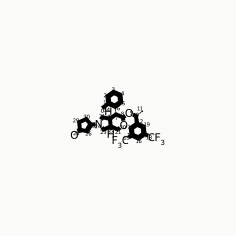 Cc1ccccc1[C@@H]1C(O[C@H](C)c2cc(C(F)(F)F)cc(C(F)(F)F)c2)OC[C@@H]2CN(C3=CC(=O)CC3)C[C@H]21